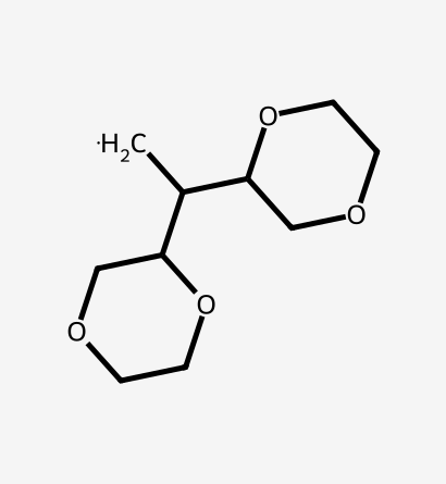 [CH2]C(C1COCCO1)C1COCCO1